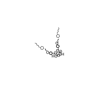 CCCCC[C@H]1CC[C@H](/C=C/COc2ccc(CO[C@@H](C(=O)O)[C@@H](OCc3ccc(OC/C=C/[C@H]4CC[C@H](CCCCC)CC4)cc3)C(=O)O)cc2)CC1